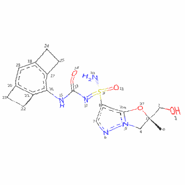 C[C@@]1(CO)Cn2ncc([S@](N)(=O)=NC(=O)Nc3c4c(cc5c3CC5)CC4)c2O1